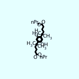 CCCOC(=O)CCCC(C)(C)c1cc(O)c(C(C)(C)CCCC(=O)OCCC)cc1O